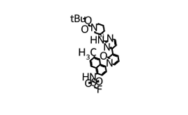 Cc1ccc2c(NS(=O)(=O)CF)cccc2c1Oc1ncccc1-c1ccnc(N[C@H]2CCCN(C(=O)OC(C)(C)C)C2)n1